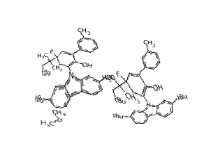 Cc1cccc(C2=CC(F)(C(C)(C)CC(C)(C)C)CC(n3c4cc(C(C)(C)C)ccc4c4ccc(C(C)(C)C)cc43)=C2O)c1.Cc1cccc(C2=CC(F)(C(C)(C)CC(C)(C)C)CC(n3c4cc(C(C)(C)C)ccc4c4ccc(C(C)(C)C)cc43)=C2O)c1.[CH3][Zr][CH3]